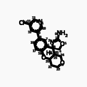 NC1=N[C@@]2(CO1)c1cc(-c3cncc(Cl)c3)ccc1OC1CCOC[C@@H]12